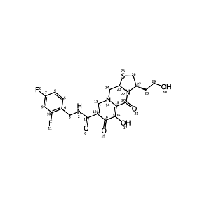 O=C(NCc1ccc(F)cc1F)c1cn2c(c(O)c1=O)C(=O)N1C(C2)SC[C@H]1CCO